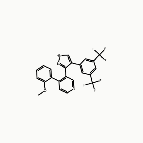 COc1ccccc1-c1ccncc1-c1n[nH]cc1-c1cc(C(F)(F)F)cc(C(F)(F)F)c1